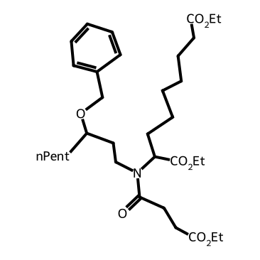 CCCCCC(CCN(C(=O)CCC(=O)OCC)C(CCCCCCC(=O)OCC)C(=O)OCC)OCc1ccccc1